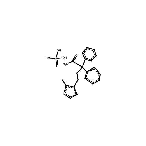 Cc1nccn1CCC(C(N)=O)(c1ccccc1)c1ccccc1.O=P(O)(O)O